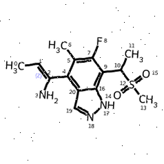 C/C=C(\N)c1c(C)c(F)c(C(C)S(C)(=O)=O)c2[nH]ncc12